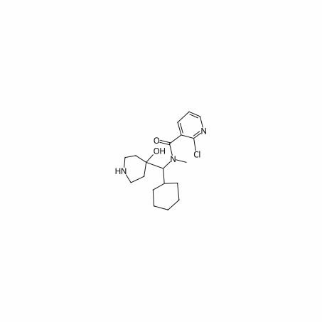 CN(C(=O)c1cccnc1Cl)C(C1CCCCC1)C1(O)CCNCC1